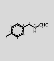 Cc1ccc(CNC=O)cc1